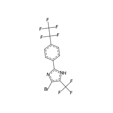 FC(F)(F)c1[nH]c(-c2ccc(C(F)(F)C(F)(F)F)cc2)nc1Br